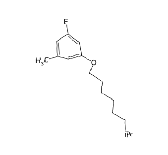 Cc1cc(F)cc(OCCCCCCC(C)C)c1